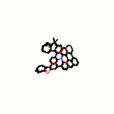 CC1(C)c2ccccc2-c2c(-c3ccccc3N(c3ccccc3-c3ccc4c(c3)oc3ccccc34)c3ccccc3-c3cccc4cccc(C5CCCCC5)c34)cccc21